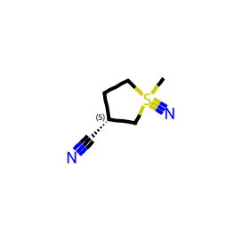 CS1(#N)CC[C@@H](C#N)C1